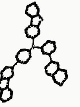 c1cc(-c2ccc3ccccc3c2)cc(N(c2ccc(-c3ccc4oc5ccccc5c4c3)cc2)c2ccc3c(c2)sc2ccccc23)c1